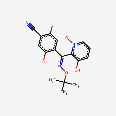 CC(C)(C)O/N=C(/c1cc(F)c(C#N)cc1O)c1c(O)ccc[n+]1[O-]